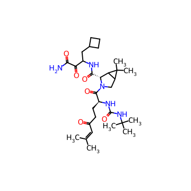 CC(C)=CC(=O)CC[C@H](NC(=O)NC(C)(C)C)C(=O)N1CC2C([C@H]1C(=O)NC(CC1CCC1)C(=O)C(N)=O)C2(C)C